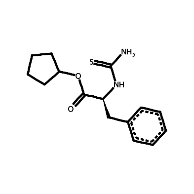 NC(=S)N[C@@H](Cc1ccccc1)C(=O)OC1CCCC1